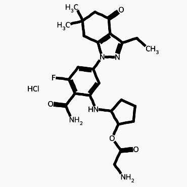 CCc1nn(-c2cc(F)c(C(N)=O)c(NC3CCCC3OC(=O)CN)c2)c2c1C(=O)CC(C)(C)C2.Cl